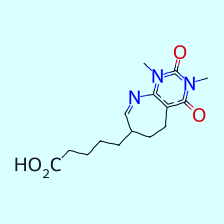 Cn1c2c(c(=O)n(C)c1=O)CCC(CCCCC(=O)O)C=N2